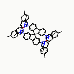 CC1=CC=C(N(c2ccc(C)cc2)c2ccc3c(c2)C2(c4cc(N(C5=CC=C(C)CC5)c5ccc(C)cc5)ccc4-c4ccc(N(c5ccc(C)cc5)c5ccc(C)cc5)cc42)c2cc(N(c4ccc(C)cc4)c4ccc(C)cc4)ccc2-3)CC1